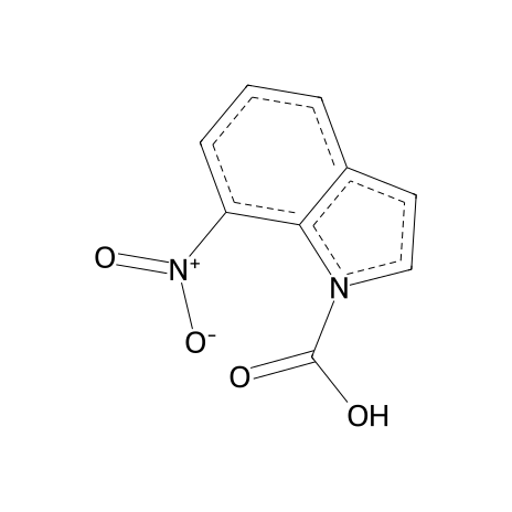 O=C(O)n1ccc2cccc([N+](=O)[O-])c21